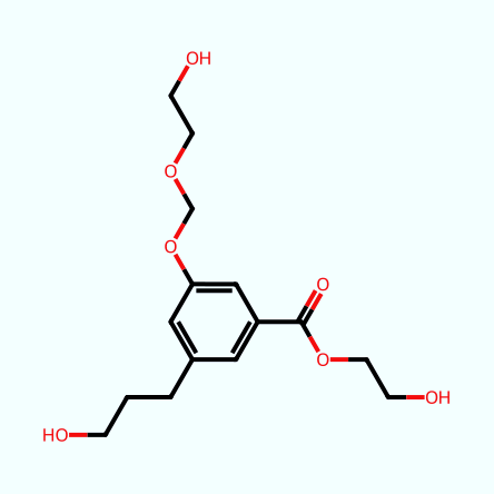 O=C(OCCO)c1cc(CCCO)cc(OCOCCO)c1